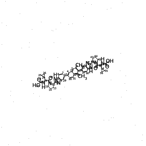 Cc1cc2cc(-c3ccc4[nH]c(C5CCCN5C(=O)C(NC(=O)O)C5CC5)nc4c3)ccc2c(C)c1-c1ccc2[nH]c([C@@H]3CCCN3C(=O)[C@@H](NC(=O)O)C3CC3)nc2c1